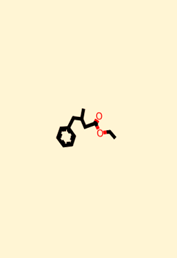 CCOC(=O)CC(C)Cc1ccccc1